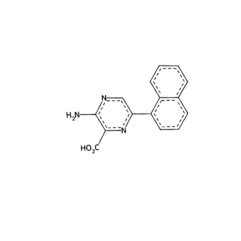 Nc1ncc(-c2cccc3ccccc23)nc1C(=O)O